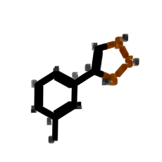 Cc1cccc(C2=CSSS2)c1